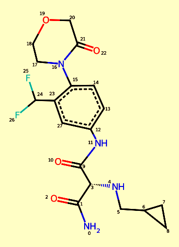 NC(=O)[C@@H](NCC1CC1)C(=O)Nc1ccc(N2CCOCC2=O)c(C(F)F)c1